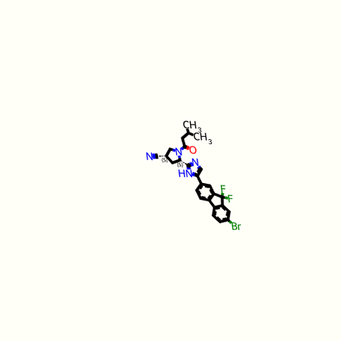 CC(C)CC(=O)N1C[C@@H](C#N)C[C@H]1c1ncc(-c2ccc3c(c2)C(F)(F)c2cc(Br)ccc2-3)[nH]1